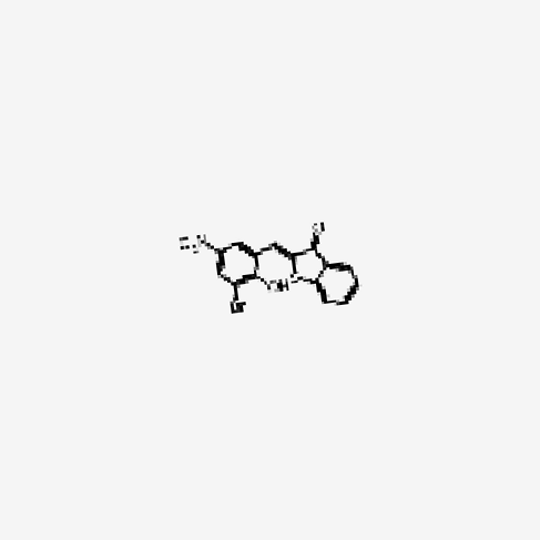 O=C1C(=Cc2cc([N+](=O)[O-])cc(Br)c2O)Sc2ccccc21